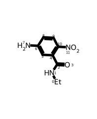 CCNC(=O)c1cc(N)ccc1[N+](=O)[O-]